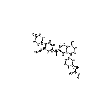 C=CC(=O)Nc1cccc(C2=CCC(C)c3cnc(Nc4cnc(N5CCN(C)CC5)c(C#N)c4)nc32)c1